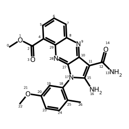 COC(=O)c1cccc2nc3c(C(N)=O)c(N)n(-c4cc(OC)ccc4C)c3nc12